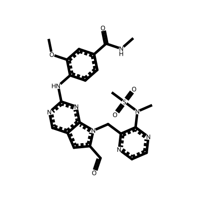 CNC(=O)c1ccc(Nc2ncc3cc(C=O)n(Cc4nccnc4N(C)S(C)(=O)=O)c3n2)c(OC)c1